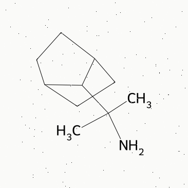 CC(C)(N)C1C2CCC1CC2